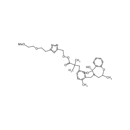 COCCOCCn1cc(COOC(=O)C(C)(C)Cc2ccc(C)c(CN3CC(C)Oc4ccccc4S3(O)O)c2)nn1